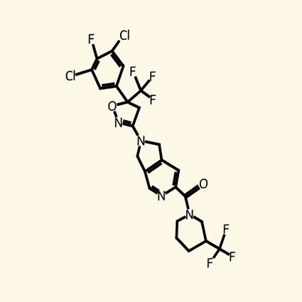 O=C(c1cc2c(cn1)CN(C1=NOC(c3cc(Cl)c(F)c(Cl)c3)(C(F)(F)F)C1)C2)N1CCCC(C(F)(F)F)C1